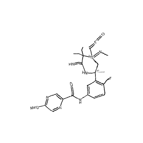 CN=[SH]1(C=C=O)C[C@@](C)(c2cc(NC(=O)c3cnc(OC)cn3)ccc2F)NC(=N)C1(C)C